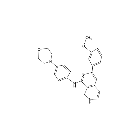 COc1cccc(-c2cc3c(c(Nc4ccc(N5CCOCC5)cc4)n2)CNC=C3)c1